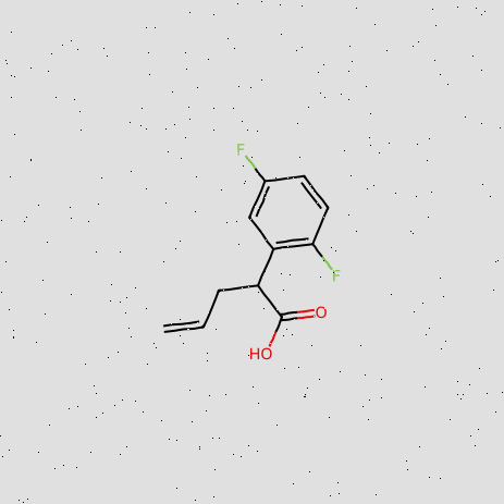 C=CCC(C(=O)O)c1cc(F)ccc1F